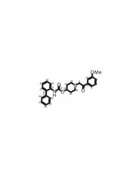 COc1cccc(C(=O)CN2CCC(OC(=O)Nc3ccccc3-c3ccccc3)CC2)c1